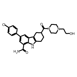 NC(=O)c1cc(-c2ccc(Cl)cc2)cc2c3c([nH]c12)CCC(C(=O)N1CCN(CCO)CC1)C3